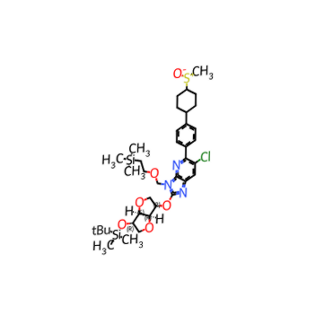 C[S+]([O-])C1CCC(c2ccc(-c3nc4c(cc3Cl)nc(O[C@@H]3CO[C@H]5[C@@H]3OC[C@H]5O[Si](C)(C)C(C)(C)C)n4COCC[Si](C)(C)C)cc2)CC1